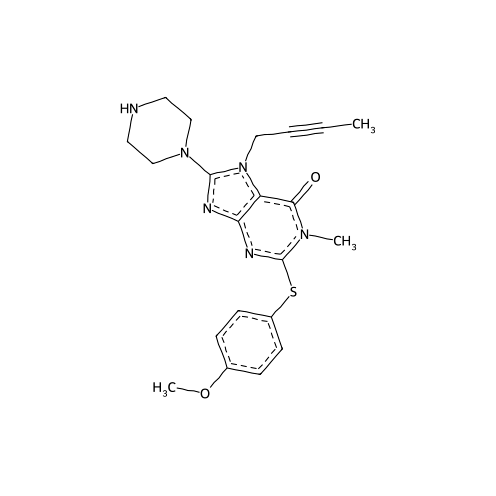 CC#CCn1c(N2CCNCC2)nc2nc(Sc3ccc(OC)cc3)n(C)c(=O)c21